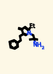 C=C1C=C(CC)N(CC(C)(C)N)C=C1CCc1ccccc1